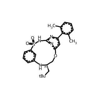 Cc1cccc(C)c1-c1cc2nc(n1)NS(=O)(=O)c1cccc(c1)N[C@H](CC(C)(C)C)CO2